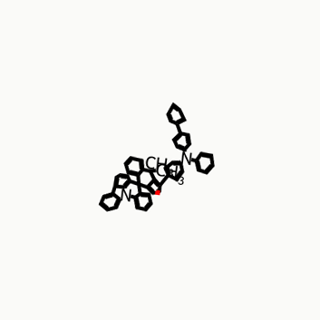 CC1(C)c2ccccc2C2(c3ccccc3-n3c4ccccc4c4cccc2c43)c2cccc(-c3ccc(N(c4ccccc4)c4ccc(-c5ccccc5)cc4)cc3)c21